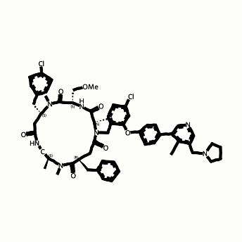 COC[C@@H]1NC(=O)[C@H](C)N(Cc2ccc(Cl)cc2Oc2ccc(-c3cncc(CN4CCCC4)c3C)cc2)C(=O)C[C@@H](Cc2ccccc2)C(=O)N(C)[C@@H](C)CNC(=O)C[C@H](Cc2ccc(Cl)cc2)N(C)C1=O